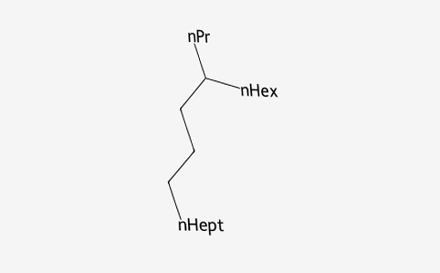 CCCCCCCCCCC(CCC)CCCCCC